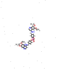 COc1cc2nccc(NCc3ccc(O[PH](=O)Oc4ccc(CNc5ccnc6cc(OC)c(OC)cc56)cc4)cc3)c2cc1OC